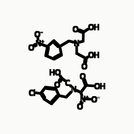 O=C(O)CN(CC(=O)O)Cc1cccc([N+](=O)[O-])c1.O=C(O)CN(Cc1ccc(Cl)cc1)C(C(=O)O)[N+](=O)[O-]